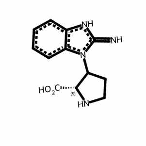 N=c1[nH]c2ccccc2n1C1CCN[C@@H]1C(=O)O